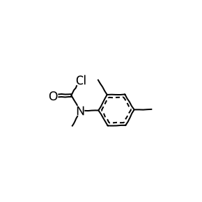 Cc1ccc(N(C)C(=O)Cl)c(C)c1